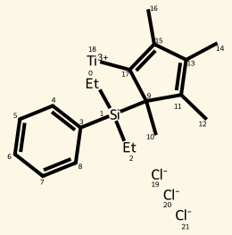 CC[Si](CC)(c1ccccc1)C1(C)C(C)=C(C)C(C)=[C]1[Ti+3].[Cl-].[Cl-].[Cl-]